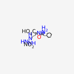 N=C(NCCC[C@H](NC(=O)[C@@H](N)Cc1ccccc1)C(=O)O)N[N+](=O)[O-]